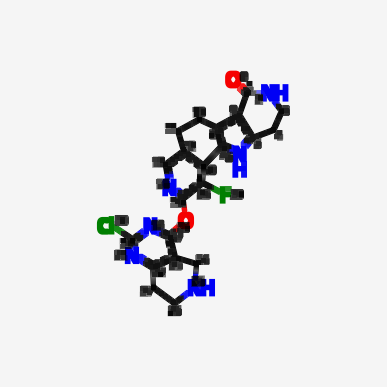 O=C1NCCc2[nH]c3c(c21)CCc1cnc(Oc2nc(Cl)nc4c2CNCC4)c(F)c1-3